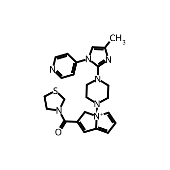 Cc1cn(-c2ccncc2)c(N2CCN([N@@+]34C=CC=C3C=C(C(=O)N3CCSC3)C4)CC2)n1